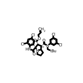 C=CCOC(=O)[C@@H]1[C@H](C(=O)N(CC(C)(C)C)c2cc(Cl)cc(Cl)c2)C2CCCN2[C@@]12C(=O)Nc1c(Cl)cc(Cl)cc12